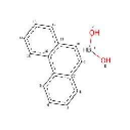 OBO.c1ccc2c(c1)ccc1ccccc12